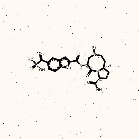 CCN1CC[C@H]2CC[C@@H](C(N)=O)N2C(=O)[C@@H](NC(=O)c2cc3cc(C(=O)P(=O)(O)O)ccc3[nH]2)C1